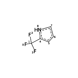 FC(F)(F)c1ccc[nH]1